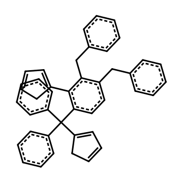 C1=CCC(c2c(C(C3=CC=CC3)(c3ccccc3)c3ccccc3)ccc(Cc3ccccc3)c2Cc2ccccc2)=C1